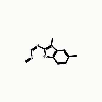 C=N/C=N\c1[nH]c2ccc(C)cc2c1C